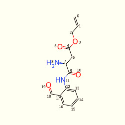 C=CCOC(=O)C[C@H](N)C(=O)Nc1ccccc1C=O